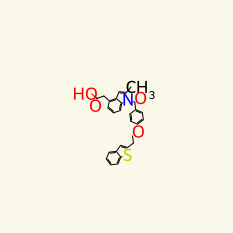 Cc1cc2c(CC(=O)O)cccc2n1C(=O)c1ccc(OCCc2cc3ccccc3s2)cc1